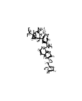 C[C@]1(c2cc(Nc3nccc4nc(OCc5ncco5)cnc34)cnc2F)N=C(N)S[C@@]2(C(F)F)C[C@@H]12